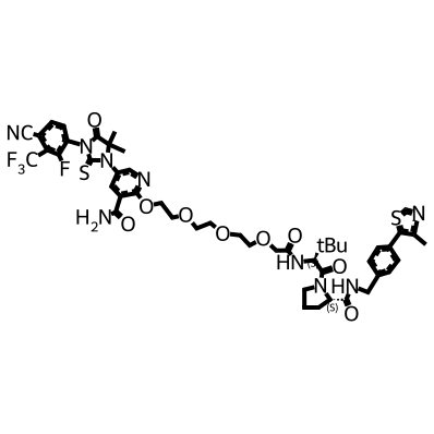 Cc1ncsc1-c1ccc(CNC(=O)[C@@H]2CCCN2C(=O)[C@@H](NC(=O)COCCOCCOCCOc2ncc(N3C(=S)N(c4ccc(C#N)c(C(F)(F)F)c4F)C(=O)C3(C)C)cc2C(N)=O)C(C)(C)C)cc1